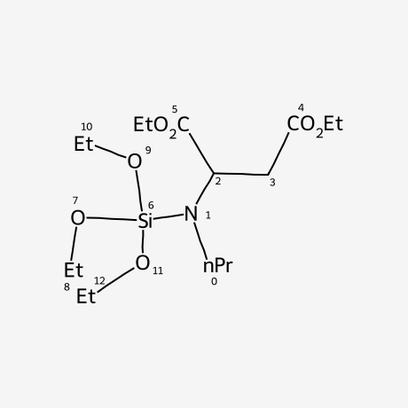 CCCN(C(CC(=O)OCC)C(=O)OCC)[Si](OCC)(OCC)OCC